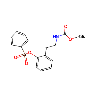 CC(C)(C)OC(=O)NC[CH]c1ccccc1OS(=O)(=O)c1ccccc1